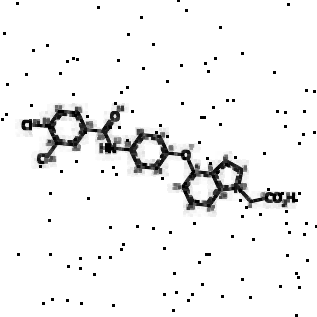 O=C(O)Cn1ccc2c(Oc3ccc(NC(=O)c4ccc(Cl)c(Cl)c4)cc3)cccc21